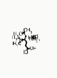 CN(C)CC(CCC(O)O)N(C)C.Cl.Cl.N.N